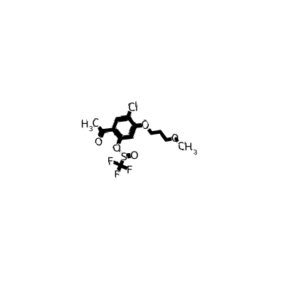 COCCCOc1cc(OS(=O)C(F)(F)F)c(C(C)=O)cc1Cl